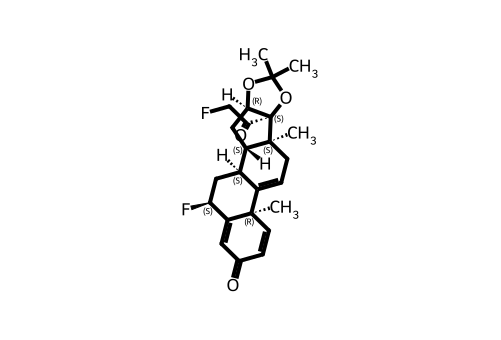 CC1(C)O[C@@H]2C[C@H]3[C@@H]4C[C@H](F)C5=CC(=O)C=C[C@]5(C)C4=CC[C@]3(C)[C@]2(C(=O)CF)O1